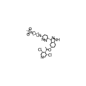 C[C@@H](Oc1ccc2[nH]nc(-c3ccc(N4CC5(C4)CN(S(C)(=O)=O)C5)nn3)c2c1)c1c(Cl)cncc1Cl